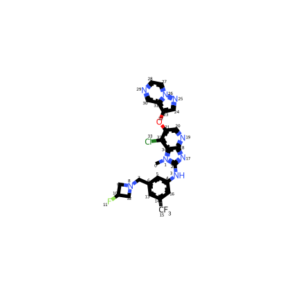 Cn1c(Nc2cc(CN3CC(F)C3)cc(C(F)(F)F)c2)nc2ncc(Oc3cnn4ccncc34)c(Cl)c21